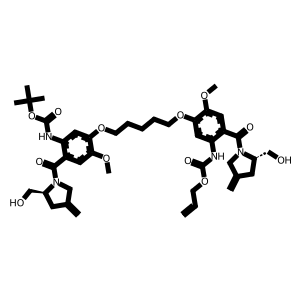 C=CCOC(=O)Nc1cc(OCCCCCOc2cc(NC(=O)OC(C)(C)C)c(C(=O)N3CC(=C)C[C@H]3CO)cc2OC)c(OC)cc1C(=O)N1CC(=C)C[C@H]1CO